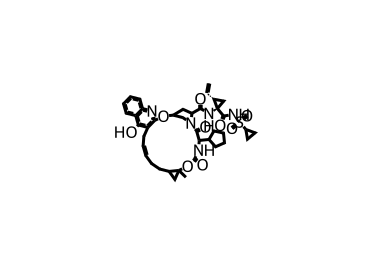 C=C[C@@H]1C[C@]1(NC(=O)C1CC2CN1C(=O)C(C1CCCC1)NC(=O)OC1(C)CC1CCC=CCc1c(nc3ccccc3c1O)O2)C(=O)NS(=O)(=O)C1CC1